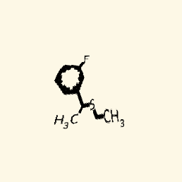 CCSC(C)c1cccc(F)c1